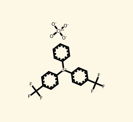 FC(F)(F)c1ccc([S+](c2ccccc2)c2ccc(C(F)(F)F)cc2)cc1.[O-][Cl+3]([O-])([O-])[O-]